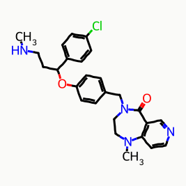 CNCCC(Oc1ccc(CN2CCN(C)c3ccncc3C2=O)cc1)c1ccc(Cl)cc1